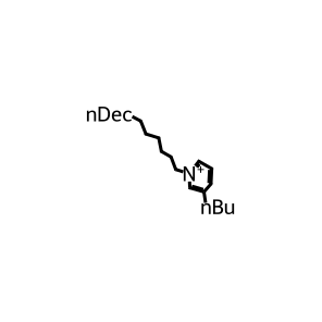 CCCCCCCCCCCCCCCC[n+]1cccc(CCCC)c1